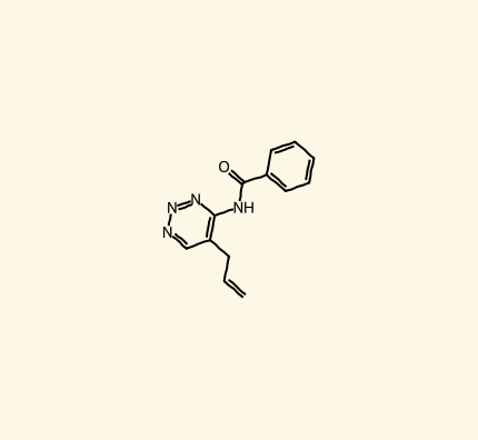 C=CCc1cnnnc1NC(=O)c1ccccc1